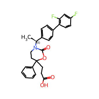 C[C@@H](c1ccc(-c2ccc(F)cc2F)cc1)N1CCC(CCC(=O)O)(c2ccccc2)OC1=O